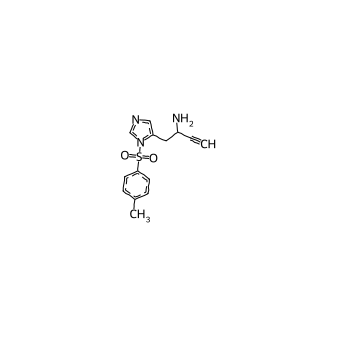 C#CC(N)Cc1cncn1S(=O)(=O)c1ccc(C)cc1